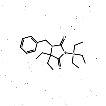 CCC1(CC)C(=O)N([Si](CC)(CC)CC)C(=O)N1Cc1ccccc1